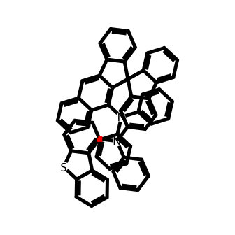 c1ccc(N(c2ccccc2)c2c3c(cc4ccccc24)-c2ccccc2C32c3ccccc3-c3ccc(N(c4ccccc4)c4cccc5sc6ccccc6c45)cc32)cc1